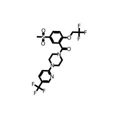 CS(=O)(=O)c1ccc(OCC(F)(F)F)c(C(=O)N2CCN(c3ccc(C(F)(F)F)cn3)CC2)c1